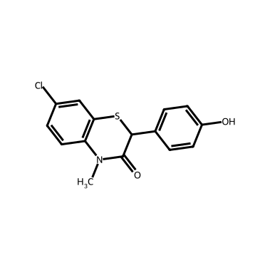 CN1C(=O)C(c2ccc(O)cc2)Sc2cc(Cl)ccc21